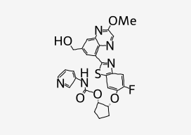 COc1cnc2c(-c3nc4cc(F)c(O[C@@H]5CCC[C@@H]5OC(=O)Nc5cccnc5)cc4s3)cc(CO)cc2n1